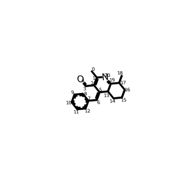 CC1=C(C=O)C(=Cc2ccccc2)C2CCCC(C)C2=N1